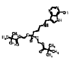 CC(C)(C)C(=O)OCOP(=O)(CCCNCc1c[nH]c2c(O)ncnc12)OCOC(=O)C(C)(C)C